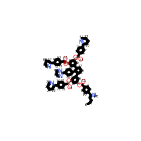 C=N/C(=C\C=C/C)c1ccc(C(=O)Oc2cc(OC(=O)c3ccc(-c4ccccn4)cc3)cc(-c3cccc(-c4cc(OC(=O)c5ccc(-c6ccccn6)cc5)cc(OC(=O)c5ccc(-c6ccccn6)cc5)c4)c3-c3ccc(-c4ncccn4)cc3)c2)cc1